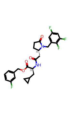 O=C(C[C@@H]1CCC(=O)N1Cc1cc(F)cc(F)c1F)N[C@@H](CC1CC1)C(=O)OCc1cccc(F)c1